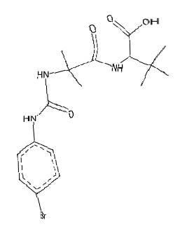 CC(C)(NC(=O)Nc1ccc(Br)cc1)C(=O)NC(C(=O)O)C(C)(C)C